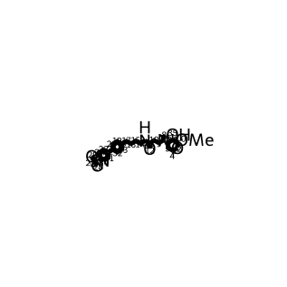 CO[C@@H]1O[C@H](C)C[C@H](N(C)CCC(=O)NCCCCc2ccc(-c3ccc(S(C)(=O)=O)nc3)cc2)[C@H]1O